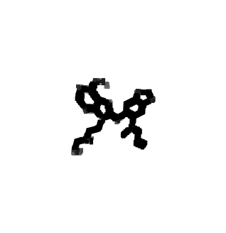 C=CCN(C)c1cc2c(cc1Sc1nc3c(N)ncnc3n1CCNCC(C)(C)C)OCO2